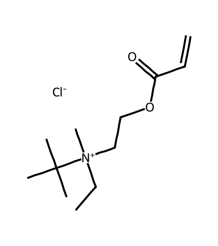 C=CC(=O)OCC[N+](C)(CC)C(C)(C)C.[Cl-]